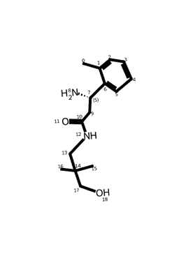 Cc1ccccc1[C@@H](N)CC(=O)NCC(C)(C)CO